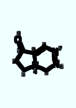 O=C1CCN2CN=NC=C12